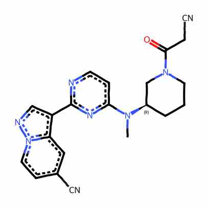 CN(c1ccnc(-c2cnn3ccc(C#N)cc23)n1)[C@@H]1CCCN(C(=O)CC#N)C1